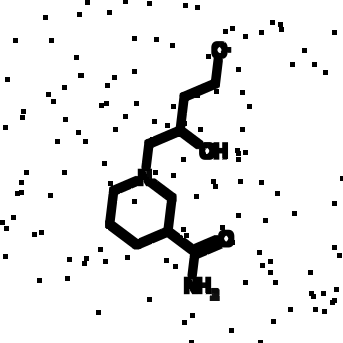 NC(=O)C1CCCN(CC(O)CC[O])C1